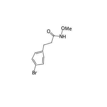 CONC(=O)CCc1ccc(Br)cc1